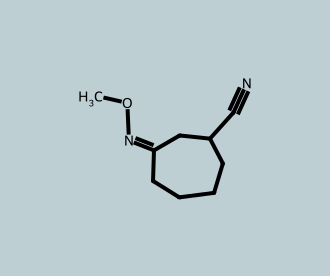 CON=C1CCCCC(C#N)C1